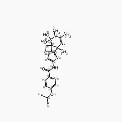 CN1C(N)=N[C@](C)(c2nc(NC(=O)c3ccc(OC(F)F)cn3)cs2)C2(CCC2)S1(O)O